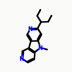 CCC(CC)c1cc2c(cn1)c1cnccc1n2C